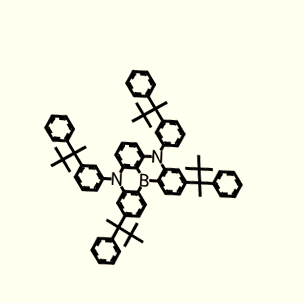 CC(C)(C)C(C)(c1ccccc1)c1cccc(N2c3cc(C(C)(c4ccccc4)C(C)(C)C)ccc3B3c4ccc(C(C)(c5ccccc5)C(C)(C)C)cc4N(c4cccc(C(C)(c5ccccc5)C(C)(C)C)c4)c4cccc2c43)c1